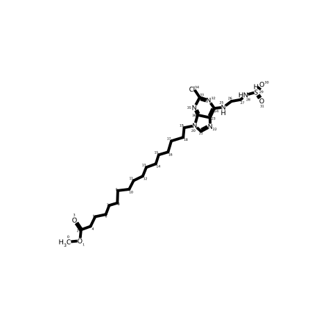 COC(=O)CCCCCCCCCCCCCCCCn1cnc2c(NCCN[SH](=O)=O)nc(Cl)nc21